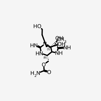 C[C@]1(O)CC(CCO)N2C(=N)N[C@@H](COC(N)=O)C3NC(=N)N(O)C321